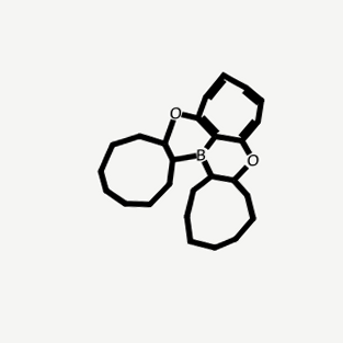 C1=C\C=C2\OC3CCCCCCCC3B3C2=C(\C=C/1)OC1CCCCCCCC31